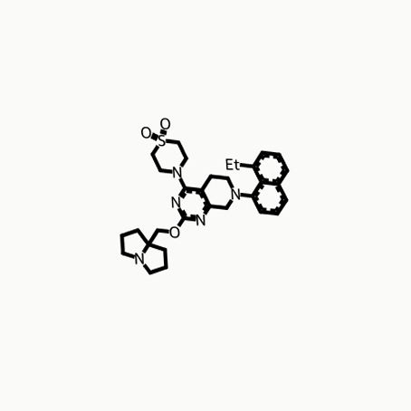 CCc1cccc2cccc(N3CCc4c(nc(OCC56CCCN5CCC6)nc4N4CCS(=O)(=O)CC4)C3)c12